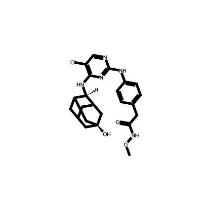 CONC(=O)Cc1ccc(Nc2ncc(Cl)c(N[C@H]3C4CC5CC3C[C@@](O)(C5)C4)n2)cc1